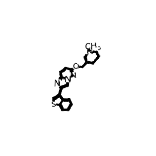 CN1CCCC(COc2ccc3nc(-c4csc5ccccc45)cn3n2)C1